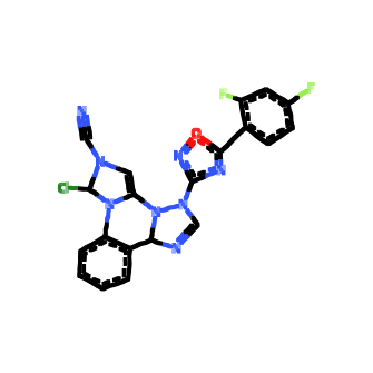 N#CN1C=C2N(c3ccccc3C3N=CN(c4noc(-c5ccc(F)cc5F)n4)N23)C1Cl